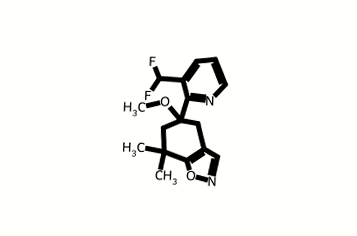 COC1(c2ncccc2C(F)F)Cc2cnoc2C(C)(C)C1